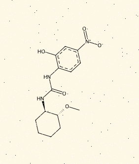 CO[C@@H]1CCCC[C@H]1NC(=O)Nc1ccc([N+](=O)[O-])cc1O